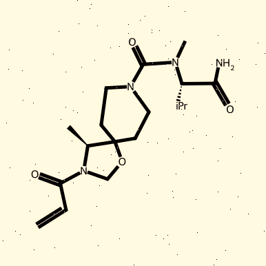 C=CC(=O)N1COC2(CCN(C(=O)N(C)[C@H](C(N)=O)C(C)C)CC2)[C@@H]1C